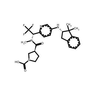 CN(C(=O)[C@H]1CCN(C(=O)O)C1)[C@@H](c1ccc(N[C@H]2Cc3ccccc3C2(C)C)cn1)C(F)(F)F